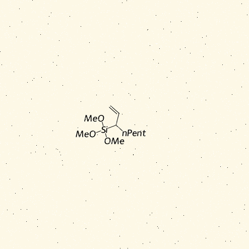 C=CC(CCCCC)[Si](OC)(OC)OC